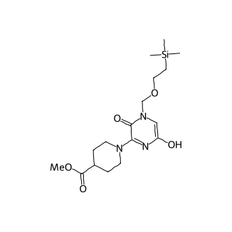 COC(=O)C1CCN(c2nc(O)cn(COCC[Si](C)(C)C)c2=O)CC1